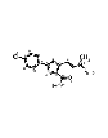 CN(C)C=Cc1cc(-c2ccc(Cl)cc2)sc1C(=O)O